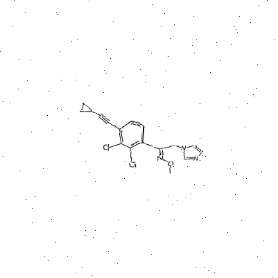 CO/N=C(\Cn1ccnc1)c1ccc(C#CC2CC2)c(Cl)c1Cl